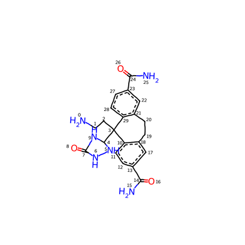 NCCC1(C2NNC(=O)N2)c2ccc(C(N)=O)cc2CCc2cc(C(N)=O)ccc21